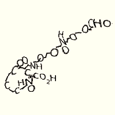 O=[C]COCCOCCNC(=O)COCCOCCNC(=O)C1C[C@@H](C(=O)O)NC(=O)CCCCCCCCC1=O